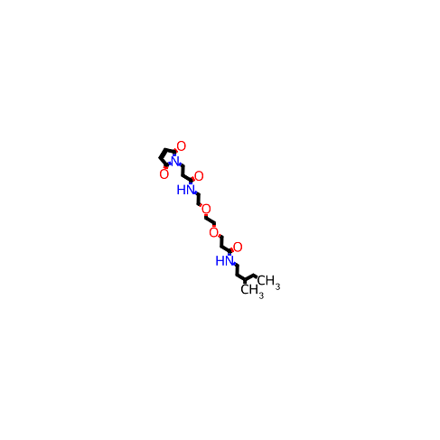 CCC(C)CCNC(=O)CCOCCOCCNC(=O)CCN1C(=O)C=CC1=O